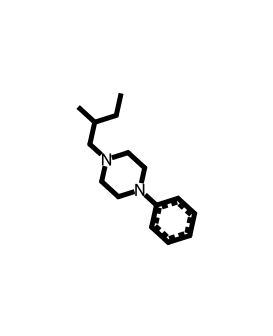 CCC(C)CN1CCN(c2ccccc2)CC1